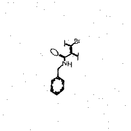 O=C(NCc1ccccc1)/C(I)=C(/Br)I